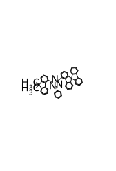 CC1(C)c2ccccc2-c2c(-c3nc(-c4ccccc4)nc(-c4cccc5c4-c4ccccc4C54c5ccccc5-c5ccccc54)n3)cccc21